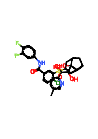 Cc1ccc(C(O)C(O)[C@]2(O)C3CCC2C[C@@H](S(=O)(=O)c2cc(C(=O)Nc4ccc(F)c(F)c4)ccc2Cl)C3)nc1